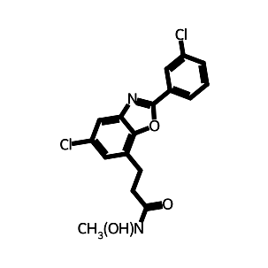 CN(O)C(=O)CCc1cc(Cl)cc2nc(-c3cccc(Cl)c3)oc12